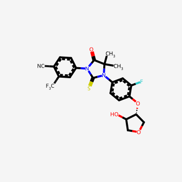 CC1(C)C(=O)N(c2ccc(C#N)c(C(F)(F)F)c2)C(=S)N1c1ccc(O[C@@H]2COCC2O)c(F)c1